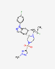 Cc1cc2c(cnn2-c2ccc(F)cc2)cc1[C@H]1CN(S(=O)(=O)c2cnn(C)n2)CCN1C[C@@H](C)F